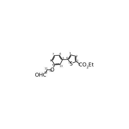 CCOC(=O)c1ccc(-c2cccc(OCC=O)c2)s1